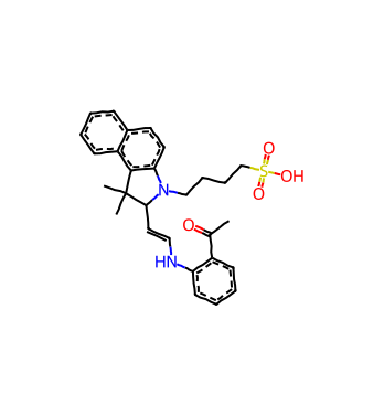 CC(=O)c1ccccc1NC=CC1N(CCCCS(=O)(=O)O)c2ccc3ccccc3c2C1(C)C